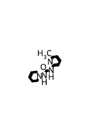 Cc1cccc(NC(=O)NN2CC=CCC2)n1